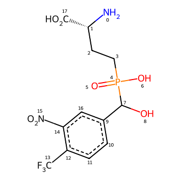 N[C@H](CCP(=O)(O)C(O)c1ccc(C(F)(F)F)c([N+](=O)[O-])c1)C(=O)O